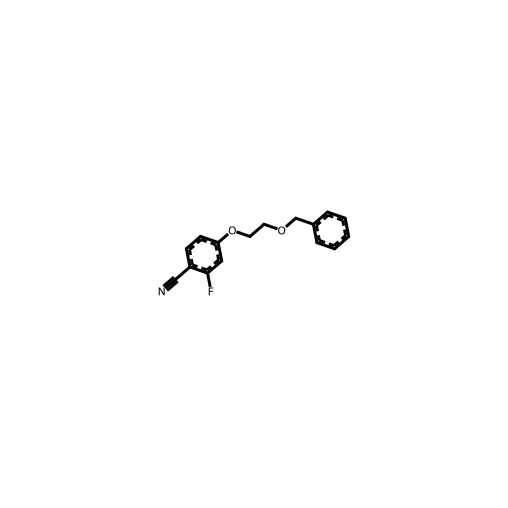 N#Cc1ccc(OCCOCc2ccccc2)cc1F